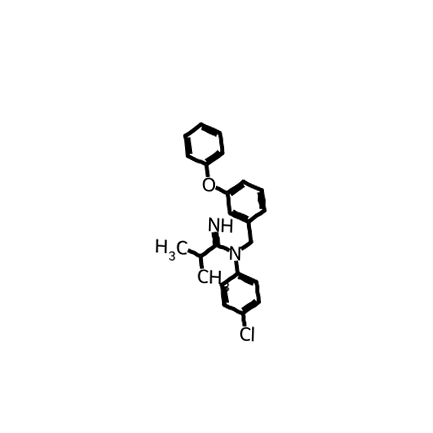 CC(C)C(=N)N(Cc1cccc(Oc2ccccc2)c1)c1ccc(Cl)cc1